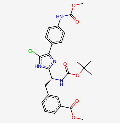 COC(=O)Nc1ccc(-c2nc([C@H](Cc3cccc(C(=O)OC)c3)NC(=O)OC(C)(C)C)[nH]c2Cl)cc1